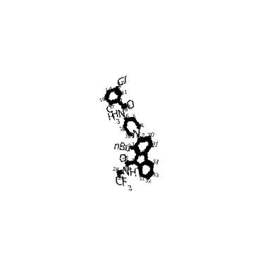 CCCCc1c(N2CCC(NC(=O)c3cc(Cl)ccc3C)CC2)ccc2c1C(C(=O)NCC(F)(F)F)c1ccccc1-2